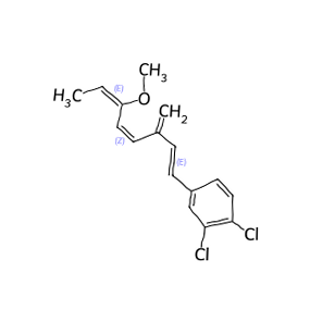 C=C(/C=C\C(=C/C)OC)/C=C/c1ccc(Cl)c(Cl)c1